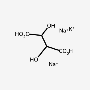 O=C(O)C(O)C(O)C(=O)O.[K+].[Na+].[Na+]